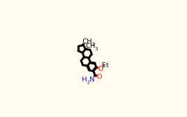 C=C1CCC2C3CCc4cc(C(N)=O)c(OCC)cc4C3CC[C@]12C